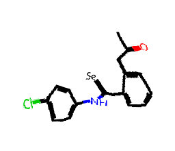 CC(=O)Cc1ccccc1C(=[Se])Nc1ccc(Cl)cc1